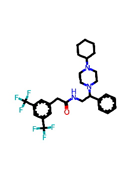 O=C(Cc1cc(C(F)(F)F)cc(C(F)(F)F)c1)NCC(c1ccccc1)N1CCN(C2CCCCC2)CC1